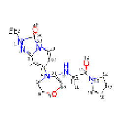 CCn1nc2cc(N3CCOc4cc(C(=O)N5CCCC5)[nH]c43)ccn2c1=O